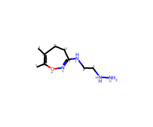 CC1=C(C)ON=C(NCCNN)CC1